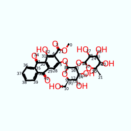 COC(=O)c1c(O[C@@H]2O[C@H](CO)[C@@H](O)[C@H](O)[C@H]2O[C@@H]2O[C@H](C)[C@@H](O)[C@H](O)[C@@H]2O)cc2c(c1O)C(=O)c1ccccc1C2=O